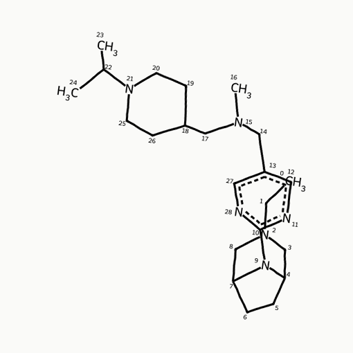 CCN1CC2CCC(C1)N2c1ncc(CN(C)CC2CCN(C(C)C)CC2)cn1